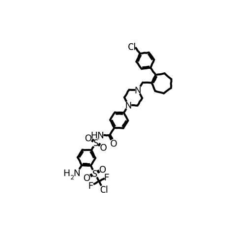 Nc1ccc(S(=O)(=O)NC(=O)c2ccc(N3CCN(CC4=C(c5ccc(Cl)cc5)CCCCC4)CC3)cc2)cc1S(=O)(=O)C(F)(F)Cl